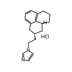 Cl.c1cc2c3c(c1)C[C@H](CCn1ccnc1)C[C@H]3CCC2